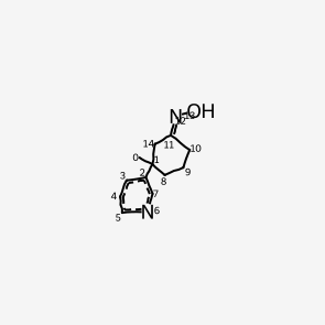 CC1(c2cccnc2)CCCC(=NO)C1